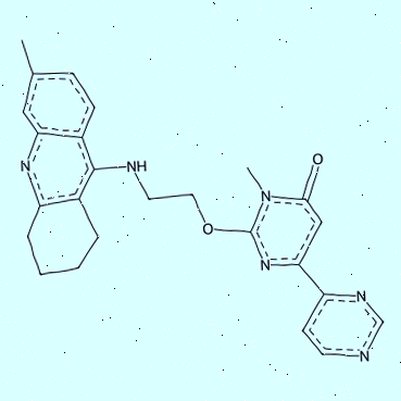 Cc1ccc2c(NCCOc3nc(-c4ccncn4)cc(=O)n3C)c3c(nc2c1)CCCC3